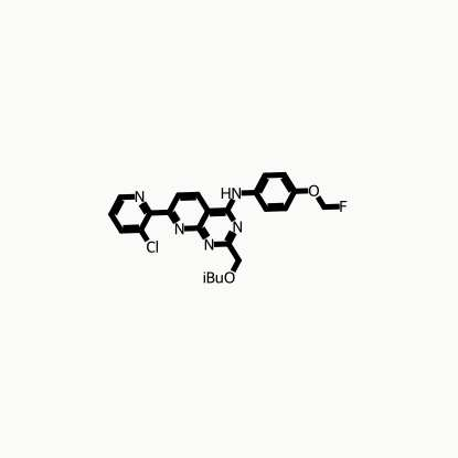 CC(C)COCc1nc(Nc2ccc(OCF)cc2)c2ccc(-c3ncccc3Cl)nc2n1